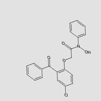 O=C(c1ccccc1)c1cc(Cl)ccc1OCC(=O)N(O)c1ccccc1